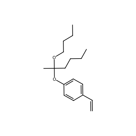 C=Cc1ccc(OC(C)(CCCC)OCCCC)cc1